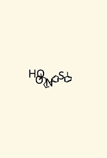 Cc1ccccc1Sc1ccc(N2CCCC2CC(=O)O)cc1